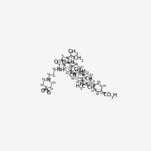 C=C(C)[C@@H]1CC[C@]2(C(=O)NCCCN3CCS(=O)(=O)CC3)CC[C@]3(C)[C@H](CC[C@@H]4[C@@]5(C)CC=C(c6ccc(C(=O)O)cc6)C(C)(C)[C@@H]5CC[C@]43C)[C@@H]12